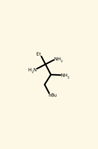 CCCCCC(N)C(N)(N)CC